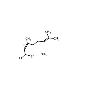 CCC(/C=C(/C)CCC=C(C)C)CC.N